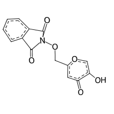 O=C1c2ccccc2C(=O)N1OCc1cc(=O)c(O)co1